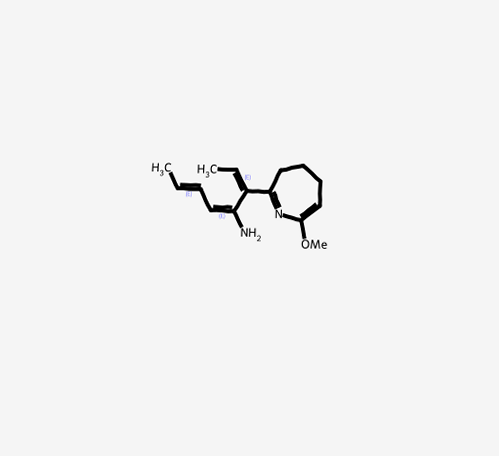 C/C=C/C=C(N)\C(=C/C)C1=NC(OC)=CCCC1